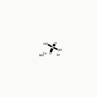 O=S(=O)(O)O.[Cu].[Mo].[Zn]